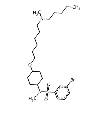 CCCCCN(C)CCCCCCOC1CCC(N(C)S(=O)(=O)c2cccc(Br)c2)CC1